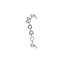 CCCC1CCC(c2ccc(-c3ccc(C(=O)CC(=O)CC)cc3)cc2)CC1